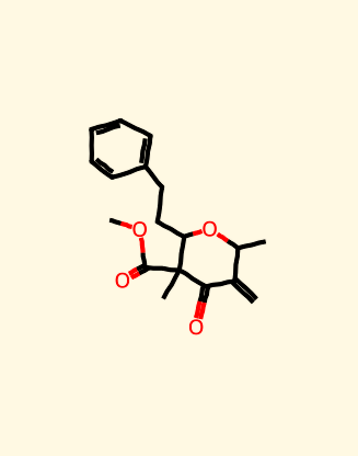 C=C1C(=O)C(C)(C(=O)OC)C(CCc2ccccc2)OC1C